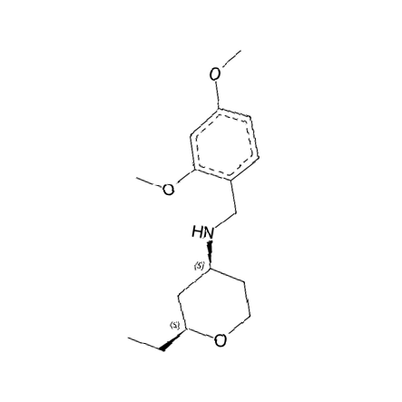 CC[C@H]1C[C@@H](NCc2ccc(OC)cc2OC)CCO1